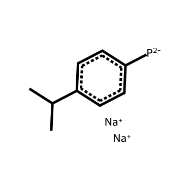 CC(C)c1ccc([P-2])cc1.[Na+].[Na+]